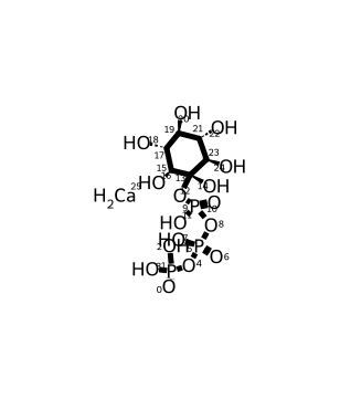 O=P(O)(O)OP(=O)(O)OP(=O)(O)O[C@]1(O)[C@H](O)[C@H](O)[C@@H](O)[C@H](O)[C@H]1O.[CaH2]